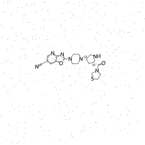 N#Cc1cnc2nc(N3CCN([C@@H]4CN[C@H](C(=O)N5CCSC5)C4)CC3)oc2c1